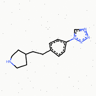 [CH]([CH]C1CCNCC1)c1ccc(-n2cnnn2)cc1